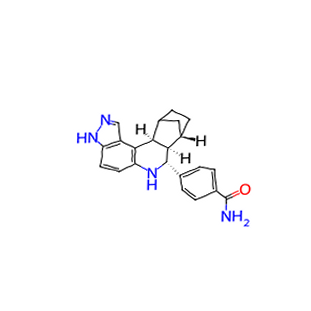 NC(=O)c1ccc([C@@H]2Nc3ccc4[nH]ncc4c3[C@H]3C4CC[C@@H](C4)[C@@H]23)cc1